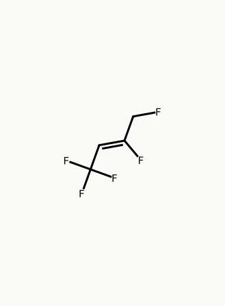 FCC(F)=CC(F)(F)F